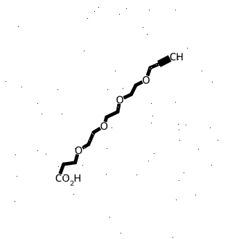 C#CCOCCOCCOCCOCCC(=O)O